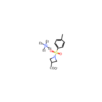 CC[N+](CC)(CC)CC.Cc1ccc(S(=O)(=O)N2CC(C(=O)[O-])C2)cc1